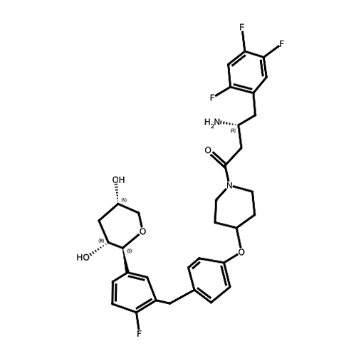 N[C@@H](CC(=O)N1CCC(Oc2ccc(Cc3cc([C@@H]4OC[C@@H](O)C[C@H]4O)ccc3F)cc2)CC1)Cc1cc(F)c(F)cc1F